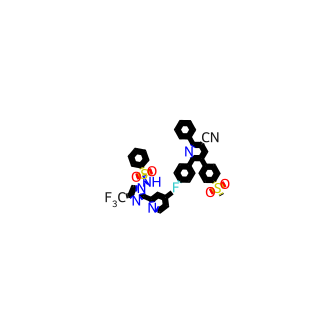 CS(=O)(=O)c1ccc(-c2cc(C#N)c(-c3ccccc3)nc2-c2ccc(F)cc2)cc1.Cc1ccnc(-c2nc(C(F)(F)F)cn2NS(=O)(=O)c2ccccc2)c1